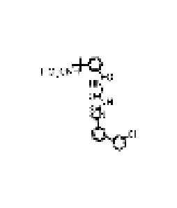 CC(C)(CNC(=O)O)c1cccc(C(=O)NCC(=O)Nc2nc(-c3cccc(-c4cccc(Cl)c4)c3)cs2)c1